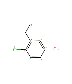 CCc1cc([O])ccc1Cl